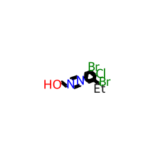 CCC(Br)c1cc(N2CCN(CCO)CC2)cc(Br)c1Cl